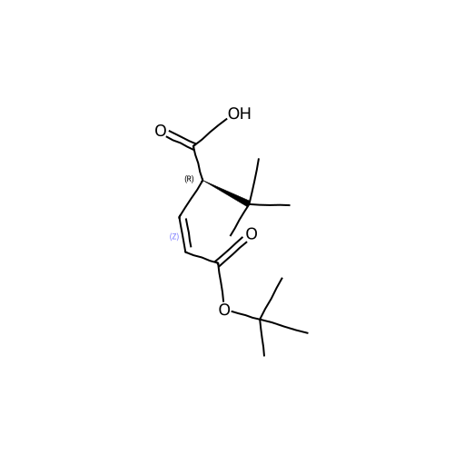 CC(C)(C)OC(=O)/C=C\[C@@H](C(=O)O)C(C)(C)C